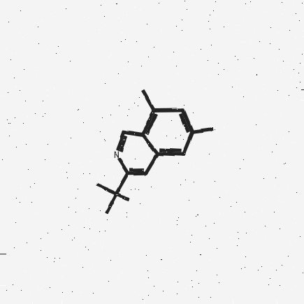 Cc1cc(C)c2cnc(C(C)(C)C)cc2c1